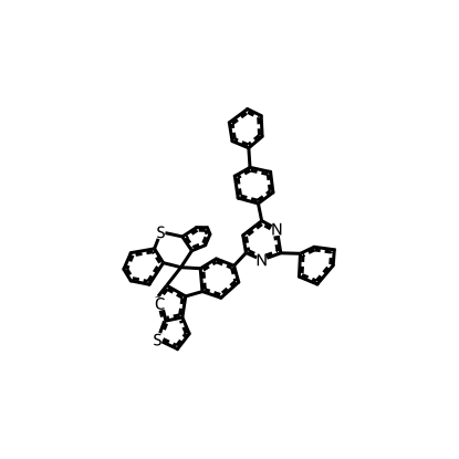 c1ccc(-c2ccc(-c3cc(-c4ccc5c(c4)C4(c6ccccc6Sc6ccccc64)c4ccc6sccc6c4-5)nc(-c4ccccc4)n3)cc2)cc1